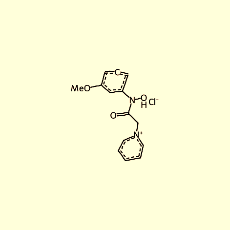 COc1cccc(N(O)C(=O)C[n+]2ccccc2)c1.[Cl-]